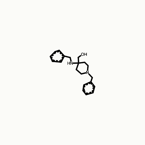 OCC1(NCc2ccccc2)CCN(Cc2ccccc2)CC1